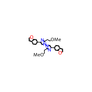 COCCc1nc(-c2ccc3ccoc3c2)cn1-n1cc(-c2ccc3ccoc3c2)nc1CCOC